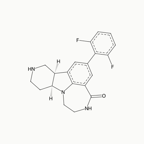 O=C1NCCN2c3c1cc(-c1c(F)cccc1F)cc3[C@@H]1CNCC[C@@H]12